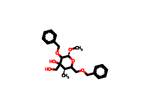 CO[C@@H]1OC(COCc2ccccc2)[C@H](C)C(O)(CO)C1OCc1ccccc1